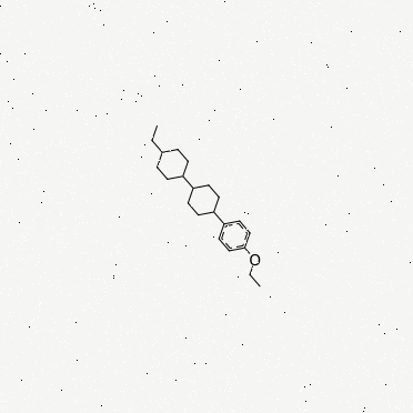 CCOc1ccc(C2CCC(C3CCC(CC)CC3)CC2)cc1